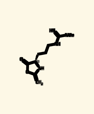 C=C1N[C@@H](CCCNC(=N)NC)C(=O)O1